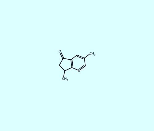 Cc1cnc2c(c1)C(=O)CC2C